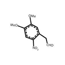 COc1cc(C[C]=O)c([N+](=O)[O-])cc1OC